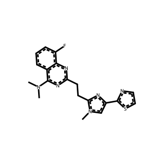 CN(C)c1nc(CCc2nc(-c3nccs3)cn2C)nc2c(F)cccc12